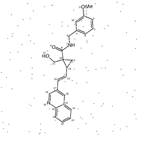 COc1cccc(CNC(=O)C2(CO)CC2C=Cc2cnc3ccccc3c2)c1